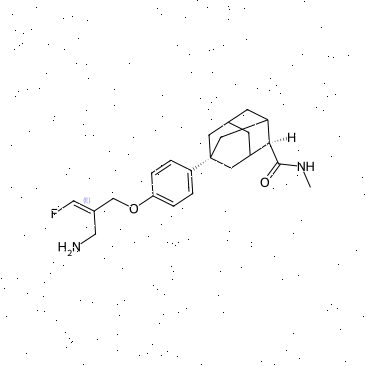 CNC(=O)[C@H]1C2CC3CC1C[C@](c1ccc(OC/C(=C/F)CN)cc1)(C3)C2